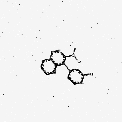 C[S+]([O-])c1ncc2ccccc2c1-c1cccc(Cl)c1